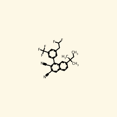 CCC(C)(C)c1ccc2cc(C#N)c(C#N)c(-c3cc(CC(F)F)cc(C(F)(F)F)c3)c2c1